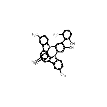 N#Cc1cc(-n2c3ccc(C(F)(F)F)cc3c3cc(C(F)(F)F)ccc32)c(-n2c3ccc(C(F)(F)F)cc3c3cc(C(F)(F)F)ccc32)cc1-c1c(C#N)cccc1C(F)(F)F